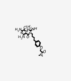 CN(C)C(=O)COc1ccc(CCCCN(C(=N)N)C(=O)c2nc(Cl)c(N)nc2N)cc1